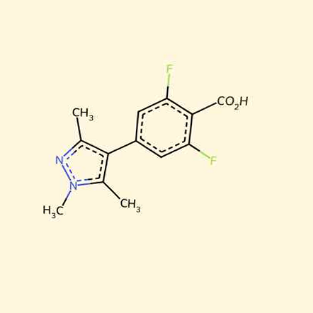 Cc1nn(C)c(C)c1-c1cc(F)c(C(=O)O)c(F)c1